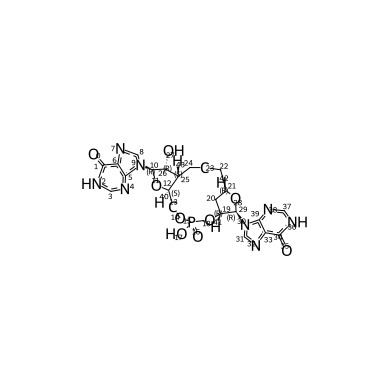 O=c1[nH]cnc2c1ncn2[C@@H]1O[C@@H]2COP(=O)(O)O[C@@H]3C[C@@H](CCC[C@H]2[C@H]1O)O[C@H]3n1cnc2c(=O)[nH]cnc21